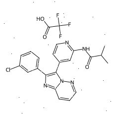 CC(C)C(=O)Nc1cc(-c2c(-c3cccc(Cl)c3)nc3cccnn23)ccn1.O=C(O)C(F)(F)F